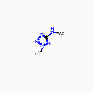 CC(=O)Nc1nnn(C)n1